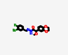 COC(C(=O)N/N=C/c1ccc(F)c(Br)c1)c1ccc2c(c1)OCCO2